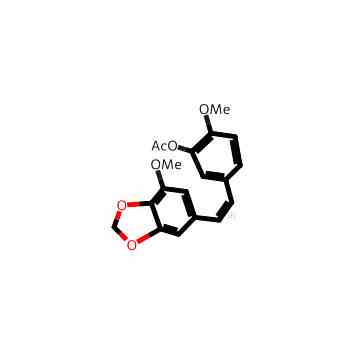 COc1ccc(/C=C\c2cc(OC)c3c(c2)OCO3)cc1OC(C)=O